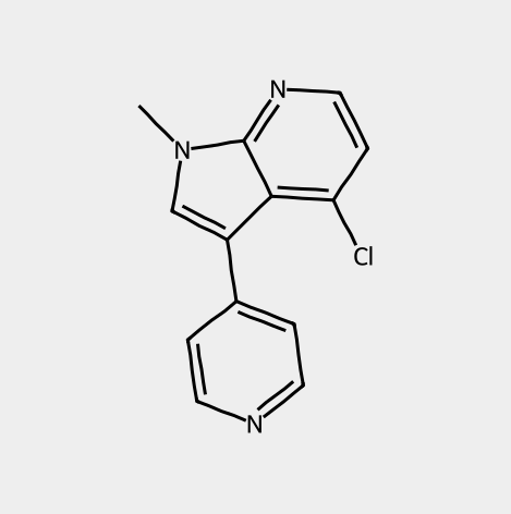 Cn1cc(-c2ccncc2)c2c(Cl)ccnc21